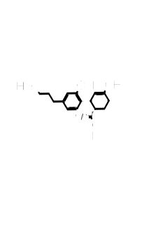 CCCCc1cc(O)c([C@@H]2C=C(C)CC[C@H]2C(C)C)c(O)c1